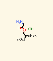 CCCCCCCCC(CCCCCC)COC(=O)CN.Cl